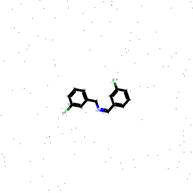 Fc1cccc(/C=N\Cc2cccc(F)c2)c1